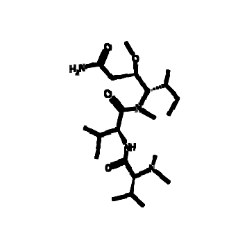 CCC(C)[C@@H]([C@@H](CC(N)=O)OC)N(C)C(=O)[C@@H](NC(=O)[C@H](C(C)C)N(C)C)C(C)C